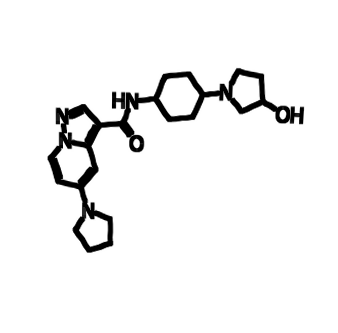 O=C(NC1CCC(N2CCC(O)C2)CC1)c1cnn2ccc(N3CCCC3)cc12